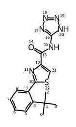 CC(C)(C)c1ccccc1-c1nc(C(=O)Nc2nnn[nH]2)cs1